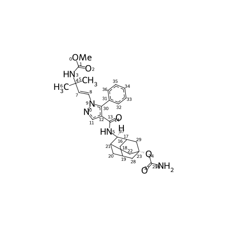 COC(=O)NC(C)(C)/C=C/n1ncc(C(=O)N[C@H]2C3CC4CC2C[C@](OC(N)=O)(C4)C3)c1-c1ccccc1